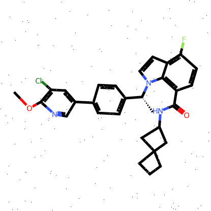 COc1ncc(-c2ccc([C@@H](C)n3ccc4c(F)ccc(C(=O)NC5CC6(CCC6)C5)c43)cc2)cc1Cl